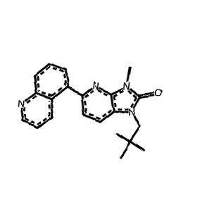 Cn1c(=O)n(CC(C)(C)C)c2ccc(-c3cccc4ncccc34)nc21